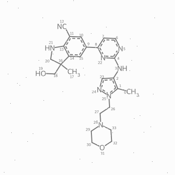 Cc1c(Nc2nccc(-c3cc(C#N)c4c(c3)C(C)(CO)CN4)n2)cnn1CCN1CCOCC1